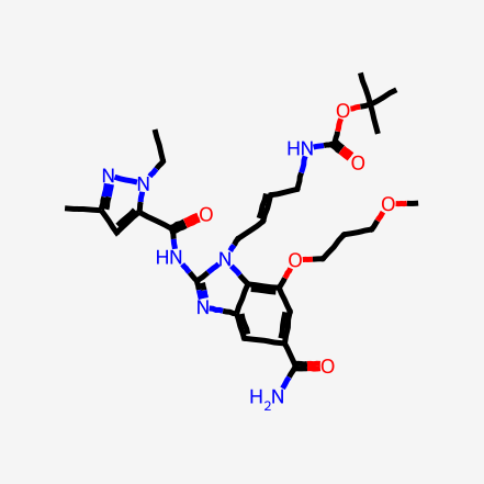 CCn1nc(C)cc1C(=O)Nc1nc2cc(C(N)=O)cc(OCCCOC)c2n1C/C=C/CNC(=O)OC(C)(C)C